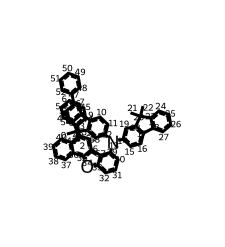 CC1(C)c2ccccc2-c2ccc(N(c3ccc4c(c3)C(C)(C)c3ccccc3-4)c3cccc4oc5c6ccccc6c(-c6ccc(-c7ccccc7)cc6)cc5c34)cc21